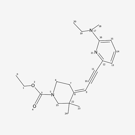 CCOC(=O)N1CC/C(=C\C#Cc2cccc(N(C)CC)n2)C(C)(C)C1